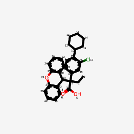 CCC(C(=O)O)(c1ccc(C2CCCCC2)c(Cl)c1)C1c2ccccc2Oc2ccccc21